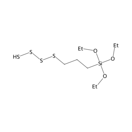 CCO[Si](CCCSSSS)(OCC)OCC